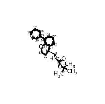 CC(C)(C)OC(=O)NC[C@H]1CCOc2c(-c3cccnc3)cccc21